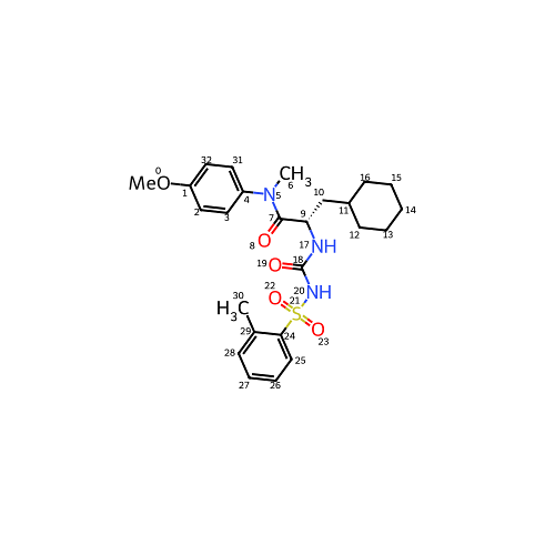 COc1ccc(N(C)C(=O)[C@H](CC2CCCCC2)NC(=O)NS(=O)(=O)c2ccccc2C)cc1